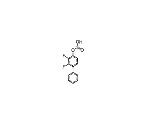 O=S(O)Oc1ccc(-c2ccccc2)c(F)c1F